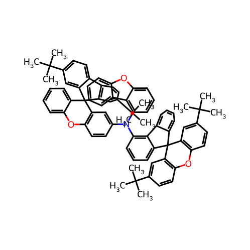 CC(C)(C)c1ccc2c(c1)C1(c3cc(C(C)(C)C)ccc3O2)c2ccccc2-c2c(N(c3ccc4c(c3)C3(c5ccccc5O4)c4cc(C(C)(C)C)ccc4-c4ccc(C(C)(C)C)cc43)c3cccc4oc5ccccc5c34)cccc21